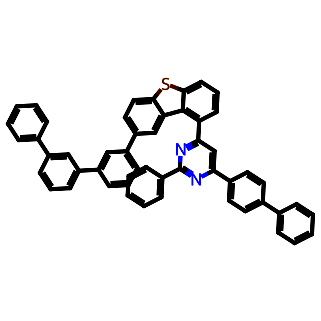 c1ccc(-c2ccc(-c3cc(-c4cccc5sc6ccc(-c7cccc(-c8cccc(-c9ccccc9)c8)c7)cc6c45)nc(-c4ccccc4)n3)cc2)cc1